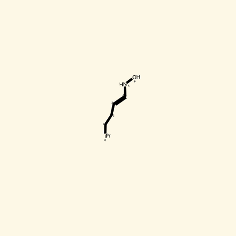 CC(C)CC/C=C/NO